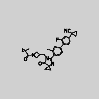 Cc1cc(-c2ccc(C3(C#N)CC3)cc2F)ccc1C1=NC2(CC2)C(=O)N1CC1CN(C(=O)C2(C)CC2)C1